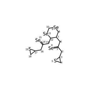 [Se]=C(CC1CS1)CC1C[Se]C[Se]C1CC(=[Se])CC1CS1